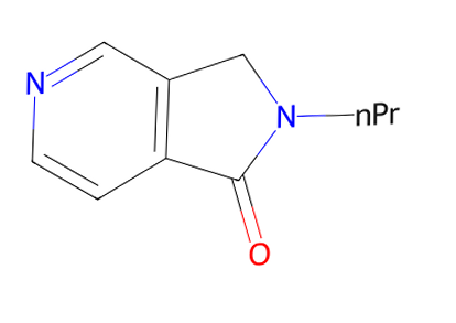 CCCN1Cc2cnccc2C1=O